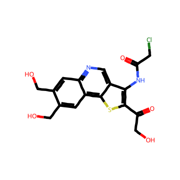 O=C(CCl)Nc1c(C(=O)CO)sc2c1cnc1cc(CO)c(CO)cc12